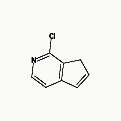 Clc1nccc2c1CC=C2